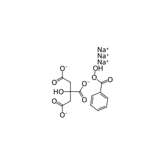 O=C(OO)c1ccccc1.O=C([O-])CC(O)(CC(=O)[O-])C(=O)[O-].[Na+].[Na+].[Na+]